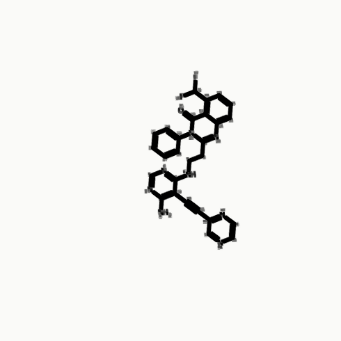 Nc1ncnc(NCCc2nc3cccc(C(F)F)c3c(=O)n2-c2ccccc2)c1C#Cc1cnccn1